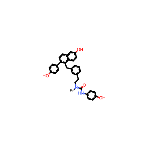 CCN(CCc1cccc(Cc2c(-c3ccc(O)cc3)ccc3cc(O)ccc23)c1)C(=O)Nc1ccc(O)cc1